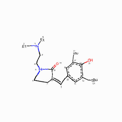 CCN(CC)CCN1CCC(=Cc2cc(C(C)(C)C)c(O)c(C(C)(C)C)c2)C1=O